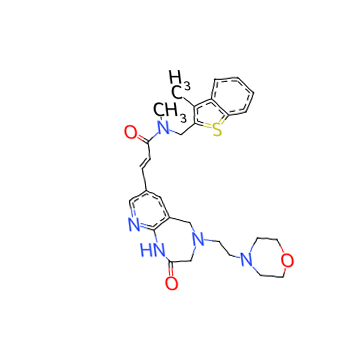 Cc1c(CN(C)C(=O)C=Cc2cnc3c(c2)CN(CCN2CCOCC2)CC(=O)N3)sc2ccccc12